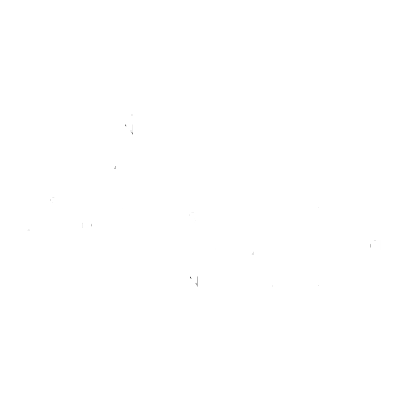 Cc1nc(-c2ccc(Cl)cc2)sc1C(C#N)O[Si](C)(C)C